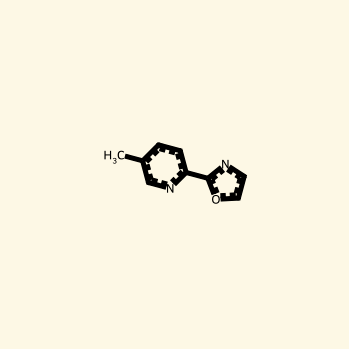 Cc1ccc(-c2ncco2)nc1